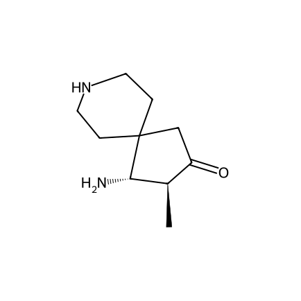 C[C@@H]1C(=O)CC2(CCNCC2)[C@H]1N